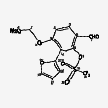 COCOc1ccc(C=O)c(OS(=O)(=O)C(F)(F)F)c1-c1ccco1